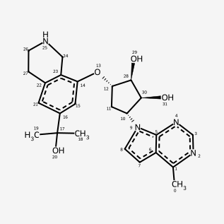 Cc1ncnc2c1ccn2[C@@H]1C[C@H](Oc2cc(C(C)(C)O)cc3c2CNCC3)[C@@H](O)[C@H]1O